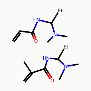 C=C(C)C(=O)NC(CC)N(C)C.C=CC(=O)NC(CC)N(C)C